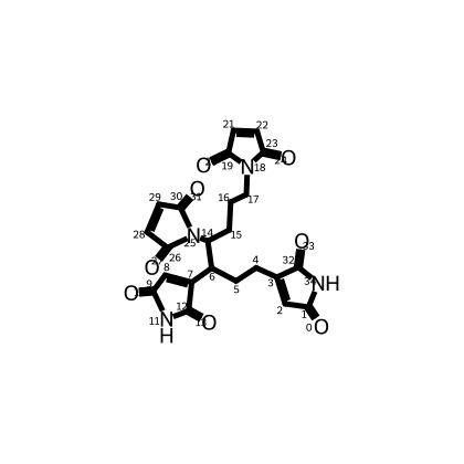 O=C1C=C(CCC(C2=CC(=O)NC2=O)C(CCCN2C(=O)C=CC2=O)N2C(=O)C=CC2=O)C(=O)N1